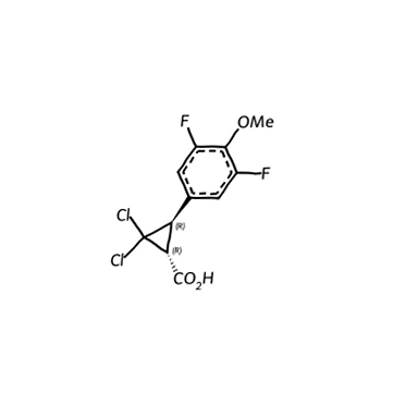 COc1c(F)cc([C@H]2[C@H](C(=O)O)C2(Cl)Cl)cc1F